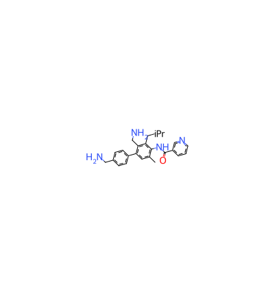 Cc1cc(-c2ccc(CN)cc2)c(CN)c(CC(C)C)c1NC(=O)c1cccnc1